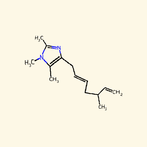 C=CC(C)C/C=C/Cc1nc(C)n(C)c1C